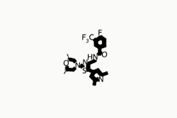 Cc1cc(-c2sc(N3C[C@@H](C)O[C@@H](C)C3)nc2CNC(=O)c2ccc(F)c(C(F)(F)F)c2)cc(C)n1